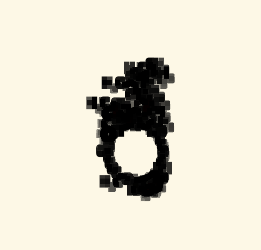 CC[C@H](C)[C@H](NC(=O)C(C)(C)N(C)C)C(=O)N(C)[C@H](C[C@@H](OC(C)=O)c1nc(C(=O)N[C@@H](Cc2ccc3c(c2)NC(=O)C(C)NC(=O)C(C(C)C)NC(=O)CCOCCNC(=O)C(N2C(=O)C=CC2=O)C(N2C(=O)C=CC2=O)C(=O)NCC(C)COCCC(=O)O3)CC(C)C(=O)O)cs1)C(C)C